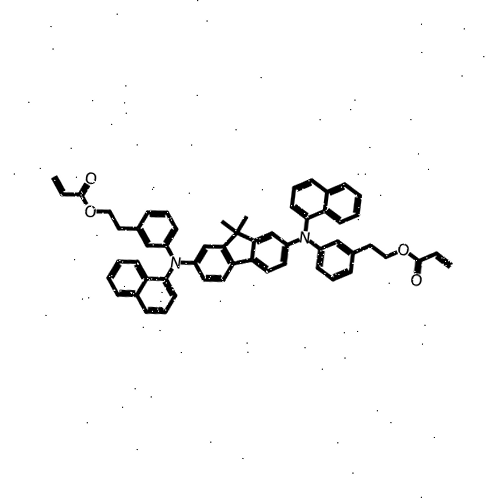 C=CC(=O)OCCc1cccc(N(c2ccc3c(c2)C(C)(C)c2cc(N(c4cccc(CCOC(=O)C=C)c4)c4cccc5ccccc45)ccc2-3)c2cccc3ccccc23)c1